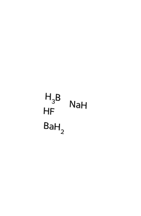 B.F.[BaH2].[NaH]